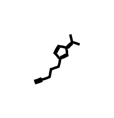 C#CCCCC1=CC(=C(C)C)C=C1